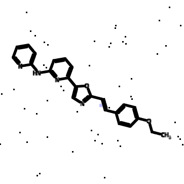 CCOc1ccc(/C=C/c2ncc(-c3cccc(Nc4ccccn4)n3)o2)cc1